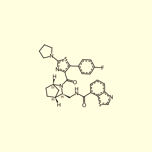 O=C(NC[C@H]1[C@@H]2CC[C@@H](C2)N1C(=O)c1nc(N2CCCC2)sc1-c1ccc(F)cc1)c1cccc2ncsc12